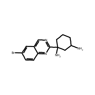 NC1CCCC(N)(c2ncc3cc(Br)ccc3n2)C1